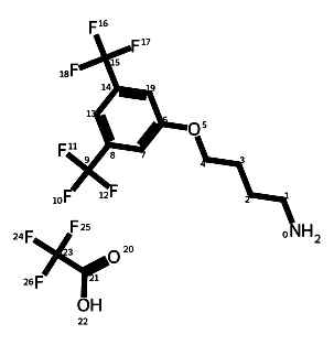 NCCCCOc1cc(C(F)(F)F)cc(C(F)(F)F)c1.O=C(O)C(F)(F)F